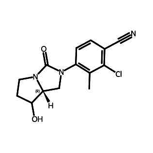 Cc1c(N2C[C@@H]3C(O)CCN3C2=O)ccc(C#N)c1Cl